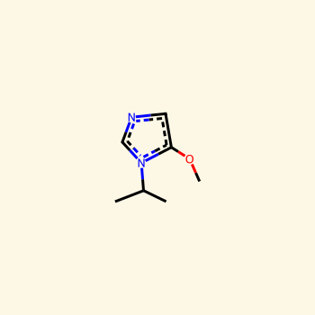 COc1cncn1C(C)C